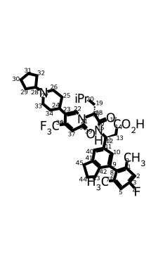 Cc1cc(F)cc(C)c1-c1cc([C@H](CC(=O)O)NC(=O)[C@@H](CC(C)C)n2cc(C3CCN(C4CCCC4)CC3)c(C(F)(F)F)cc2=O)cc2c1CCC2